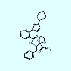 NC(=O)C1(C(Cc2ccccc2)NC(=O)c2cccnc2-n2ccc(C3CCCCC3)n2)OCCO1